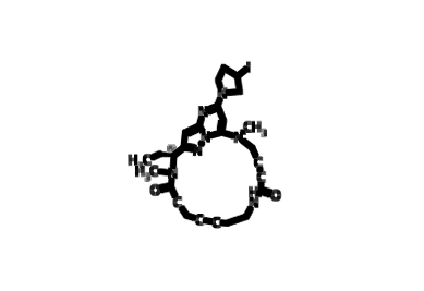 CC[C@H]1c2cc3nc(N4CCC(I)C4)cc(n3n2)N(C)CCCC(=O)NCCCCCCC(=O)N1C